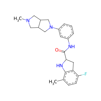 Cc1ccc(F)c2c1NC(C(=O)Nc1cccc(N3CC4CN(C)CC4C3)c1)C2